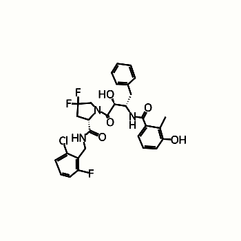 Cc1c(O)cccc1C(=O)N[C@@H](Cc1ccccc1)[C@H](O)C(=O)N1CC(F)(F)C[C@H]1C(=O)NCc1c(F)cccc1Cl